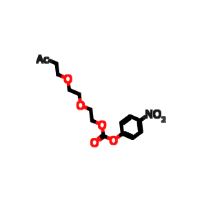 CC(=O)CCOCCOCCOC(=O)Oc1ccc([N+](=O)[O-])cc1